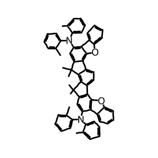 Cc1ccccc1N(c1ccccc1C)c1cc2c(c3oc4ccccc4c13)-c1ccc3c(c1C2(C)C)C(C)(C)c1cc(N(c2ccccc2C)c2ccccc2C)c2c(oc4ccccc42)c1-3